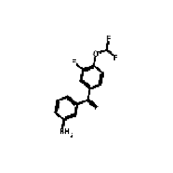 Bc1cccc(C(=C)c2ccc(OC(F)F)c(F)c2)c1